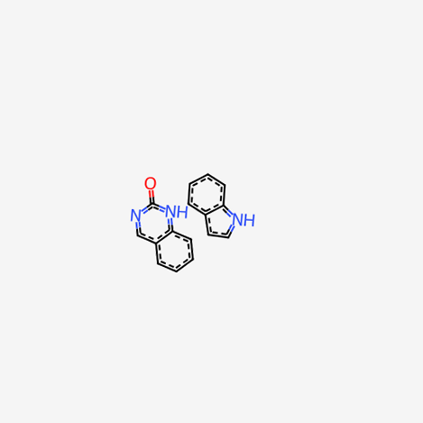 O=c1ncc2ccccc2[nH]1.c1ccc2[nH]ccc2c1